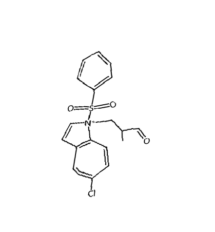 CC(C=O)C[N+]1(S(=O)(=O)c2ccccc2)C=Cc2cc(Cl)ccc21